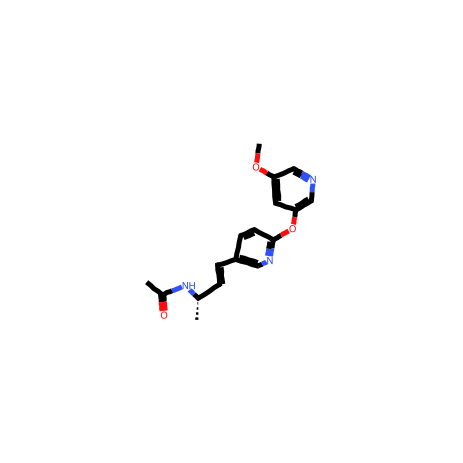 COc1cncc(Oc2ccc(/C=C/[C@H](C)NC(C)=O)cn2)c1